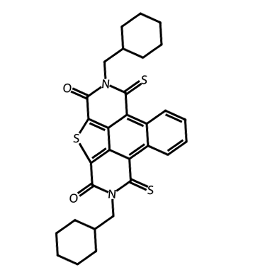 O=C1c2sc3c4c(c5ccccc5c(c24)C(=S)N1CC1CCCCC1)C(=S)N(CC1CCCCC1)C3=O